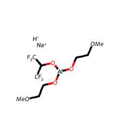 COCC[O][Al]([O]CCOC)[O]C(C(F)(F)F)C(F)(F)F.[H-].[Na+]